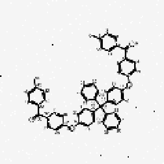 Cc1ccc(C(=O)c2ccc(Oc3ccc(C(c4ccccc4)(c4ccccc4)c4ccc(Oc5ccc(C(=O)c6ccc(C)cc6)cc5)cc4)cc3)cc2)cc1